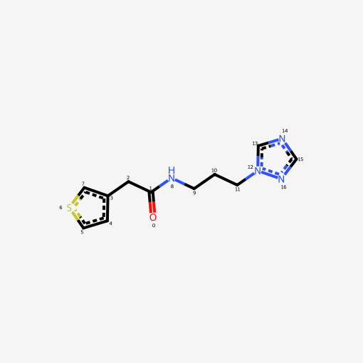 O=C(Cc1ccsc1)NCCCn1cncn1